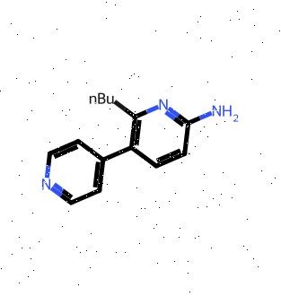 CCCCc1nc(N)[c]cc1-c1ccncc1